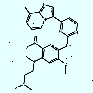 COc1cc(N(C)CCN(C)C)c([N+](=O)[O-])cc1Nc1nccc(-c2cnc3c(I)cccn23)n1